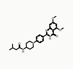 COc1cc(OC)c2c(=O)[nH]c(-c3ccc(N4CCC(NC(=O)CC(C)C)CC4)cc3)nc2c1